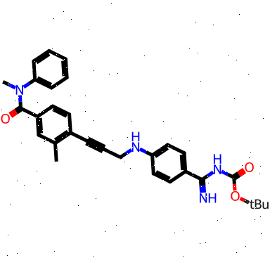 Cc1cc(C(=O)N(C)c2ccccc2)ccc1C#CCNc1ccc(C(=N)NC(=O)OC(C)(C)C)cc1